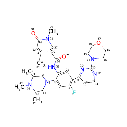 CC1CN(c2cc(F)c(-c3ccnc(N4CCOCC4)n3)cc2NC(=O)c2cn(C)c(=O)cc2C(F)(F)F)CC(C)N1C